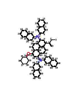 C=C(CC)c1cc(N(c2ccc3ccccc3c2)c2ccc3ccccc3c2)c2ccc3c(OC4CCCCC4)cc(N(c4ccc5ccccc5c4)c4ccc5ccccc5c4)c4ccc1c2c34